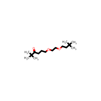 CC(C)(C)CCOCCOCCCC(=O)C(C)(C)C